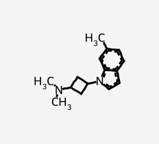 Cc1ccc2ccn(C3CC(N(C)C)C3)c2c1